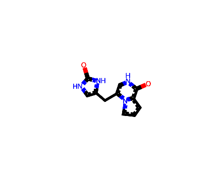 O=c1[nH]cc(Cc2c[nH]c(=O)c3cccn23)[nH]1